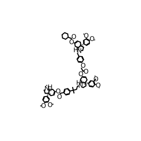 COc1ccc([C@@]23CC=C(OC(=O)c4ccc(C(C)(C)CCN5CC[C@]6(c7ccc(OC)c(OC)c7)CC=C(OC(=O)COc7ccc(CN8CC[C@]9(c%10ccc(OC)c(OC)c%10)CC=C(OC(=O)C%10CCCCC%10)C[C@H]89)cc7)C[C@H]56)cc4)C[C@@H]2N(C)CC3)cc1OC